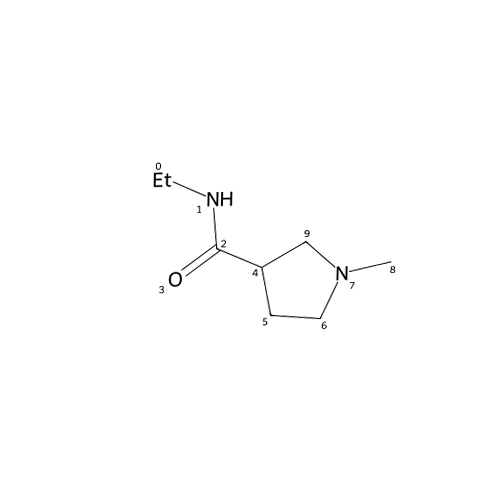 CCNC(=O)C1CCN(C)C1